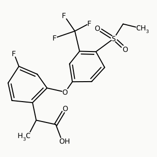 CCS(=O)(=O)c1ccc(Oc2cc(F)ccc2C(C)C(=O)O)cc1C(F)(F)F